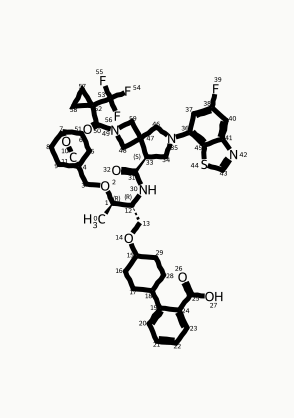 C[C@@H](OCC12CCC(CC1)OC2)[C@@H](COC1CCC(c2ccccc2C(=O)O)CC1)NC(=O)[C@@H]1CN(c2cc(F)cc3ncsc23)CC12CN(C(=O)C1(C(F)(F)F)CC1)C2